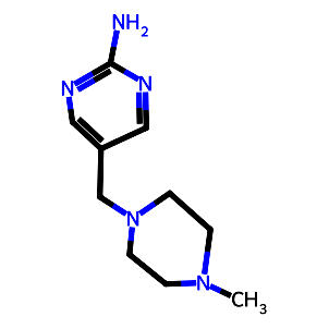 CN1CCN(Cc2cnc(N)nc2)CC1